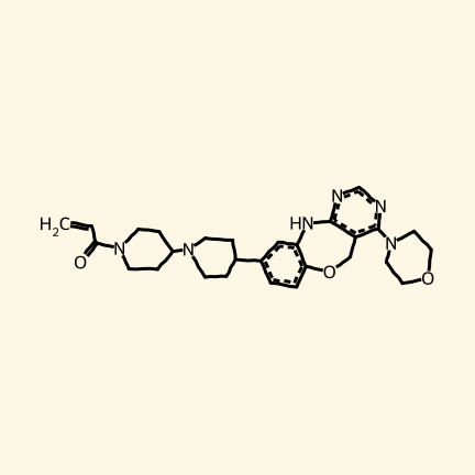 C=CC(=O)N1CCC(N2CCC(c3ccc4c(c3)Nc3ncnc(N5CCOCC5)c3CO4)CC2)CC1